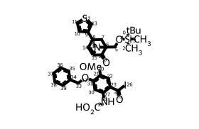 CC(C)(C)[Si](C)(C)OCC12CC(c3ccsc3)C=C(C1=O)N2I.COc1cc(C(=O)I)c(NC(=O)O)cc1OCc1ccccc1